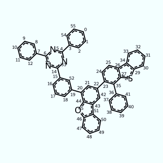 c1ccc(-c2nc(-c3ccccc3)nc(-c3cccc(-c4cc(-c5ccc6c(sc7ccccc76)c5-c5ccccc5)cc5c4oc4ccccc45)c3)n2)cc1